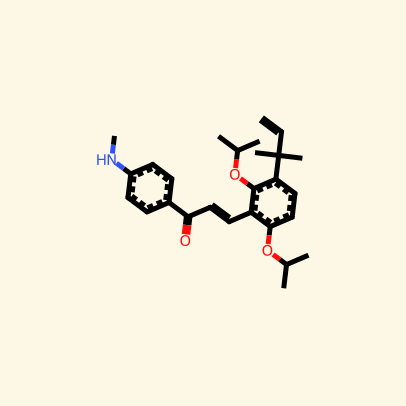 C=CC(C)(C)c1ccc(OC(C)C)c(C=CC(=O)c2ccc(NC)cc2)c1OC(C)C